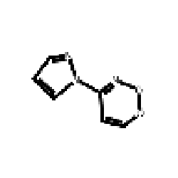 C1=CC(n2cccn2)=NOO1